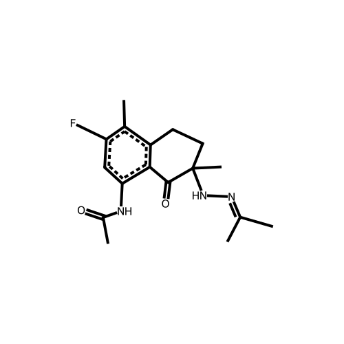 CC(=O)Nc1cc(F)c(C)c2c1C(=O)C(C)(NN=C(C)C)CC2